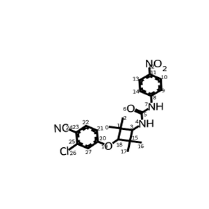 CC1(C)C(NC(=O)Nc2ccc([N+](=O)[O-])cc2)C(C)(C)C1Oc1ccc(C#N)c(Cl)c1